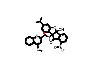 COc1cc(C(=O)NC23C(=O)c4c([N+](=O)[O-])cccc4C2(O)Oc2cc(C(C)C)ccc23)nc2ccccc12